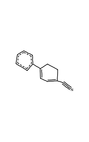 N#CC1=CC=C(c2ccccc2)CC1